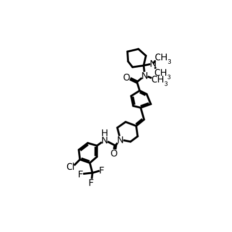 CN(C)C1(N(C)C(=O)c2ccc(C=C3CCN(C(=O)Nc4ccc(Cl)c(C(F)(F)F)c4)CC3)cc2)CCCCC1